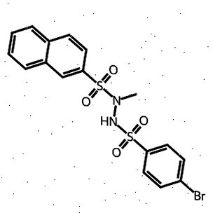 CN(NS(=O)(=O)c1ccc(Br)cc1)S(=O)(=O)c1ccc2ccccc2c1